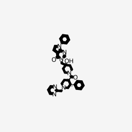 O=C([C@@H]1CCN(Cc2ncccn2)C[C@H]1c1ccccc1)N1CCC(O)(Cn2cnc3c(ccn3-c3ccccc3)c2=O)CC1